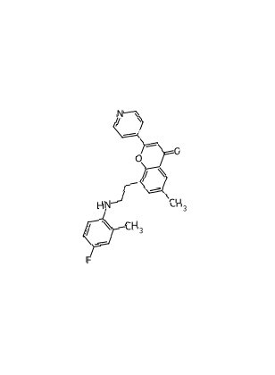 Cc1cc(CCNc2ccc(F)cc2C)c2oc(-c3ccncc3)cc(=O)c2c1